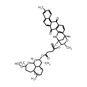 Cc1ccc2c3c(ccc2c1)C(=O)c1c(ccc2c1N[C@]1(C)C[C@H]2O[C@@H](C)[C@@H]1OC(=O)CCC(=O)O[C@@H]1O[C@@H]2O[C@](C)(OO)CC[C@]4(C)C2[C@@H](CC[C@H]4C)[C@H]1C)C3=O